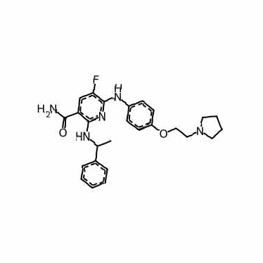 CC(Nc1nc(Nc2ccc(OCCN3CCCC3)cc2)c(F)cc1C(N)=O)c1ccccc1